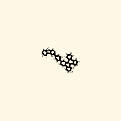 c1ccc2c(c1)sc1ccc(-c3ccc(-c4ccc5c6ccccc6c6c7ccccc7c7ccccc7c6c5c4)cc3)cc12